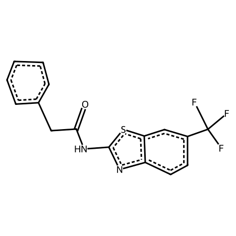 O=C(Cc1ccccc1)Nc1nc2ccc(C(F)(F)F)cc2s1